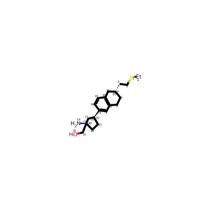 CCSCC[C@@H]1CCc2cc([C@H]3CC[C@](N)(CO)C3)ccc2C1